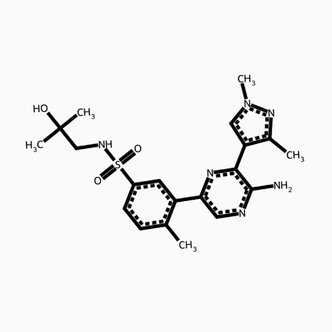 Cc1ccc(S(=O)(=O)NCC(C)(C)O)cc1-c1cnc(N)c(-c2cn(C)nc2C)n1